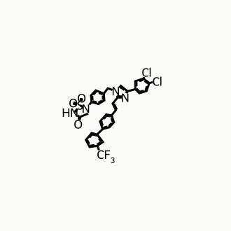 O=C1CN(c2ccc(Cn3cc(-c4ccc(Cl)c(Cl)c4)nc3C=Cc3ccc(-c4cccc(C(F)(F)F)c4)cc3)cc2)S(=O)(=O)N1